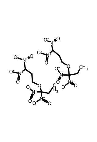 CCC(OCC[C]([N+](=O)[O-])[N+](=O)[O-])([N+](=O)[O-])[N+](=O)[O-].CCC(OCC[C]([N+](=O)[O-])[N+](=O)[O-])([N+](=O)[O-])[N+](=O)[O-]